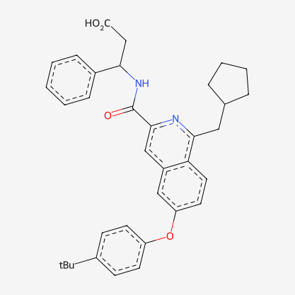 CC(C)(C)c1ccc(Oc2ccc3c(CC4CCCC4)nc(C(=O)NC(CC(=O)O)c4ccccc4)cc3c2)cc1